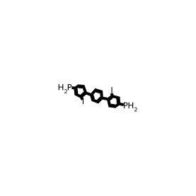 Pc1ccc(-c2ccc(-c3ccc(P)cc3I)cc2)c(I)c1